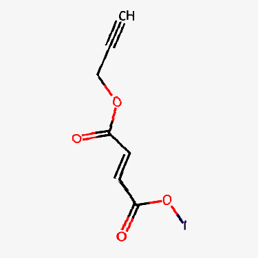 C#CCOC(=O)/C=C/C(=O)OI